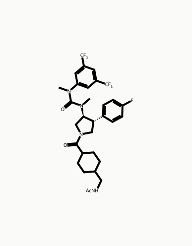 CC(=O)NCC1CCC(C(=O)N2C[C@@H](N(C)C(=O)N(C)c3cc(C(F)(F)F)cc(C(F)(F)F)c3)[C@H](c3ccc(F)cc3)C2)CC1